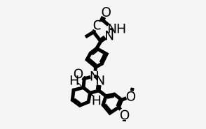 COc1ccc(C2=NN(c3ccc(C4=NNC(=O)CC4C)cc3)C(=O)[C@@H]3CC=CC[C@H]23)cc1OC